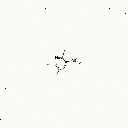 Cc1nc(C)c([N+](=O)[O-])cc1I